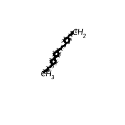 C=CCCC1CCC(CCCCC2CCC(C3CCC(CCCCC)CC3)CC2)CC1